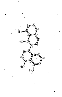 Oc1cccc2ccc(-c3ccc(O)c4c(O)cccc34)c(O)c12